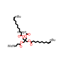 CCCC/C=C\CCCCCCCC(=O)OCC(COC(=O)CCCCCCC)(COC(=O)CCCCCCC/C=C\CCCC)COC(=O)CCNC